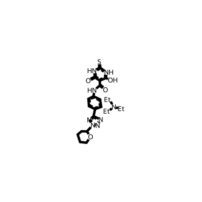 CCN(CC)CC.O=C(Nc1ccc(-c2nnn(C3CCCCO3)n2)cc1)c1c(O)[nH]c(=S)[nH]c1=O